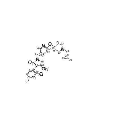 Cc1ccc(N2C(=O)N(Cc3ccc(OC4CCN(CC5CC5)CC4)nc3)CC2O)c(Cl)c1